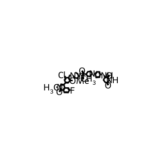 COc1cc(-c2cn(C)c(=O)c3ccc(F)cc23)cc(Cl)c1CN1CCC(N(C)C(=O)C2CCN(c3ccc(NC4CCC(=O)NC4=O)cc3)CC2)CC1